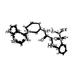 CCN(C)S(=O)(=O)c1ccccc1NCC(=O)N[C@@H]1CCCN(c2ncnc3[nH]ccc23)C1